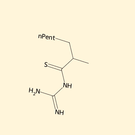 CCCCCCC(C)C(=S)NC(=N)N